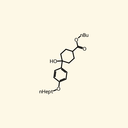 CCCCCCCOc1ccc(C2(O)CCC(C(=O)OCCCC)CC2)cc1